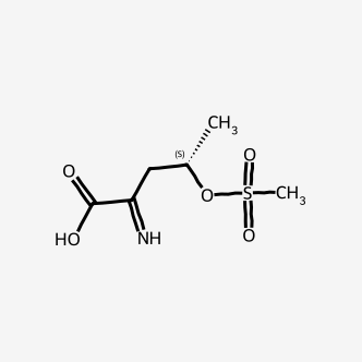 C[C@@H](CC(=N)C(=O)O)OS(C)(=O)=O